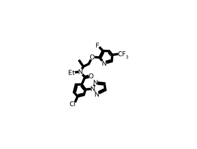 CCN(C(=O)c1ccc(Cl)cc1-n1nccn1)C(C)COc1ncc(C(F)(F)F)cc1F